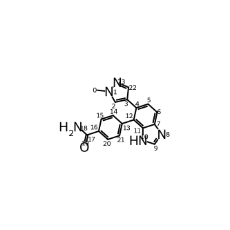 Cn1cc(-c2ccc3nc[nH]c3c2-c2ccc(C(N)=O)cc2)cn1